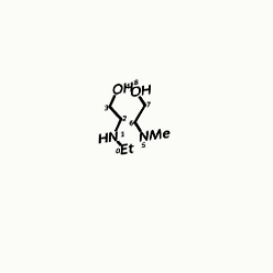 CCNCCO.CNCCO